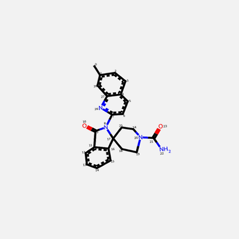 Cc1ccc2ccc(N3C(=O)c4ccccc4C34CCN(C(N)=O)CC4)nc2c1